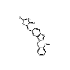 COc1ccccc1Cn1cnc2ccc(/C=C3/SC(=O)NC3=O)cc21